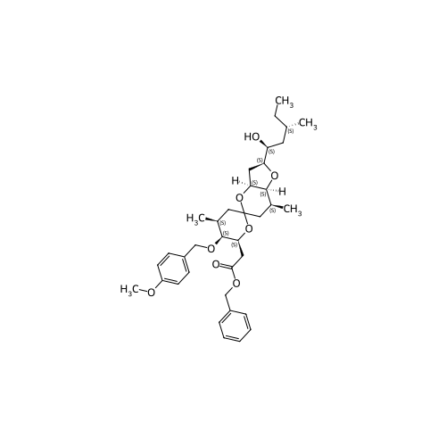 CC[C@H](C)C[C@H](O)[C@@H]1C[C@@H]2OC3(C[C@H](C)[C@H](OCc4ccc(OC)cc4)[C@H](CC(=O)OCc4ccccc4)O3)C[C@H](C)[C@@H]2O1